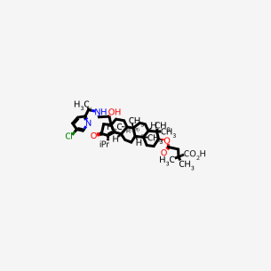 CC(C)C1=C2[C@H]3CC[C@@H]4[C@@]5(C)CC[C@H](OC(=O)CC(C)(C)C(=O)O)C(C)(C)[C@@H]5CC[C@@]4(C)[C@]3(C)CCC2(C(O)CN[C@@H](C)c2ccc(Cl)cn2)CC1=O